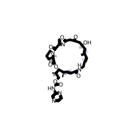 CC1=C\[C@@H](O)CC(=O)Cc2nc(co2)C(=O)N2CCC[C@@H]2C(=O)O[C@H]([C@H](C)COC(=O)Nc2cnccn2)[C@H](C)/C=C/C(=O)NC\C=C\1